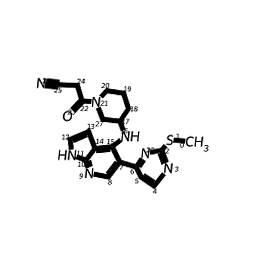 CSc1nccc(-c2cnc3[nH]ccc3c2NC2CCCN(C(=O)CC#N)C2)n1